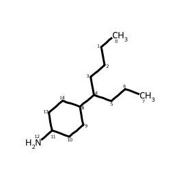 CCCCC(CCC)C1CCC(N)CC1